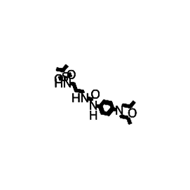 CC1CN(c2ccc(NC(=O)NCCCNS(=O)(=O)C(C)C)cc2)CC(C)O1